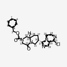 O=C(OCc1ccccc1)N1CC(=O)N2C[C@@H](c3ncc4c(Cl)nccn34)CC[C@H]2C1